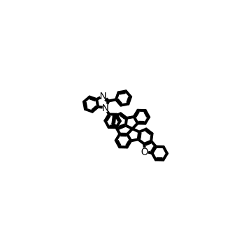 C1=Cc2oc3c4c(ccc3c2CC1)C1(c2ccccc2-c2ccccc21)c1c(-c2ccc(-n3c(-c5ccccc5)nc5ccccc53)cc2)cccc1-4